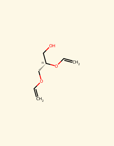 C=COC[C@H](CO)OC=C